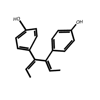 CC=C(C(=CC)c1ccc(O)cc1)c1ccc(O)cc1